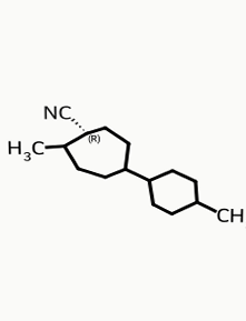 CC1CCC(C2CCC(C)[C@H](C#N)CC2)CC1